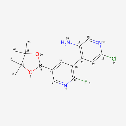 CC1(C)OB(c2cnc(F)c(-c3cc(Cl)ncc3N)c2)OC1(C)C